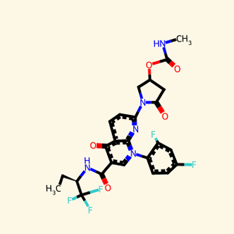 CC[C@@H](NC(=O)c1cn(-c2ccc(F)cc2F)c2nc(N3CC(OC(=O)NC)CC3=O)ccc2c1=O)C(F)(F)F